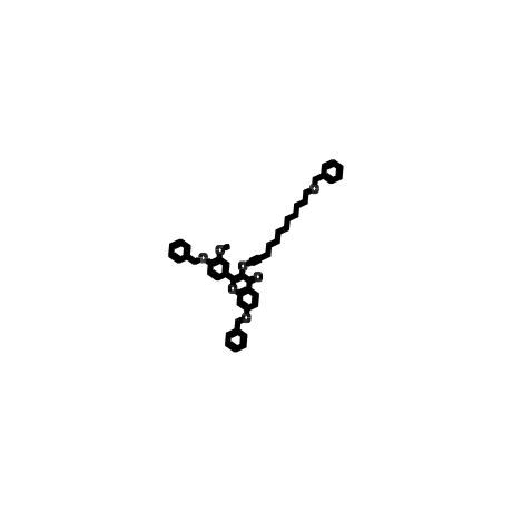 COc1cc(-c2oc3cc(OCc4ccccc4)ccc3c(=O)c2OC#CCCCCCCCCCCOCc2ccccc2)ccc1OCc1ccccc1